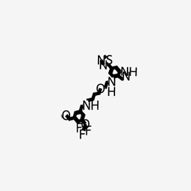 COCc1cc(CNCCCCOCCNc2cc(-c3nncs3)cc3[nH]ncc23)cc(OC(F)(F)F)c1